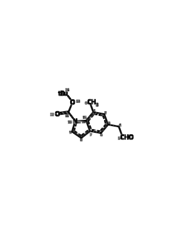 Cc1cc(CC=O)cc2ccn(C(=O)OC(C)(C)C)c12